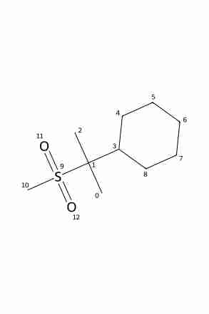 CC(C)(C1CCCCC1)S(C)(=O)=O